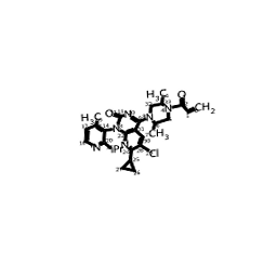 C=CC(=O)N1CC(C)N(c2nc(=O)n(-c3c(C)ccnc3C(C)C)c3nc(C4CC4)c(Cl)cc23)CC1C